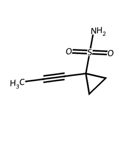 CC#CC1(S(N)(=O)=O)CC1